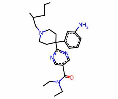 CCCC(C)CN1CCC(c2cccc(N)c2)(c2ncc(C(=O)N(CC)CC)cn2)CC1